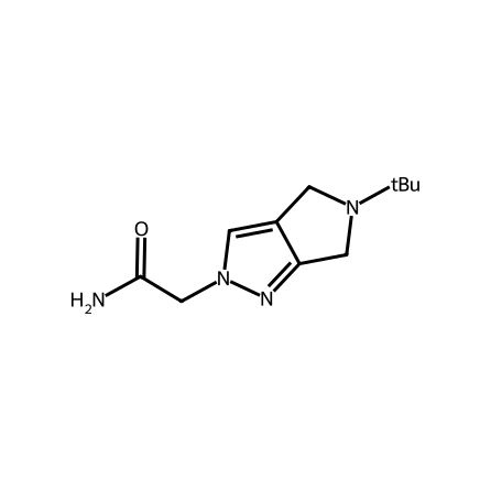 CC(C)(C)N1Cc2cn(CC(N)=O)nc2C1